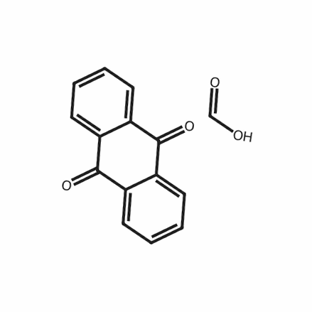 O=C1c2ccccc2C(=O)c2ccccc21.O=CO